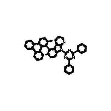 Cc1ccc2c3ccccc3c3ccccc3c2c1-c1c(C)ccc2c1c1cccnc1n2-c1nc(-c2ccccc2)nc(-c2ccccc2)n1